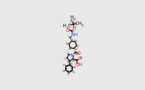 CC(C)(C)OC(=O)NC[C@H]1CC[C@H](C(=O)N2CCC(c3ccccc3)C2C(=O)O)CC1